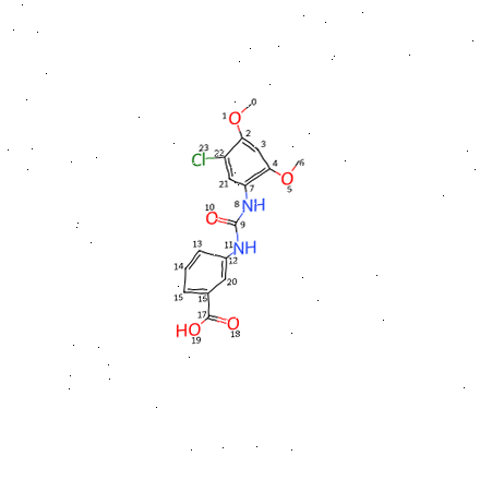 COc1cc(OC)c(NC(=O)Nc2cccc(C(=O)O)c2)cc1Cl